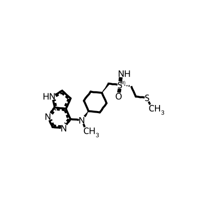 CSCC[S@](=N)(=O)C[C@H]1CC[C@@H](N(C)c2ncnc3[nH]ccc23)CC1